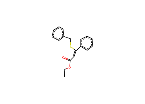 CCOC(=O)/C=C(\SCc1ccccc1)c1ccccc1